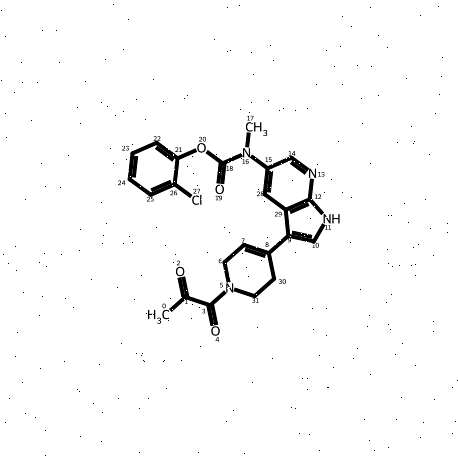 CC(=O)C(=O)N1CC=C(c2c[nH]c3ncc(N(C)C(=O)Oc4ccccc4Cl)cc23)CC1